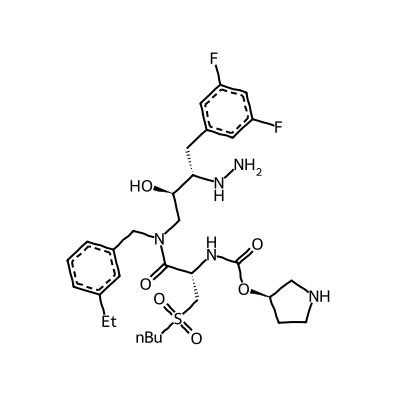 CCCCS(=O)(=O)C[C@@H](NC(=O)O[C@@H]1CCNC1)C(=O)N(Cc1cccc(CC)c1)C[C@@H](O)[C@H](Cc1cc(F)cc(F)c1)NN